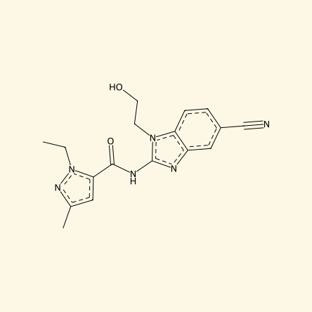 CCn1nc(C)cc1C(=O)Nc1nc2cc(C#N)ccc2n1CCO